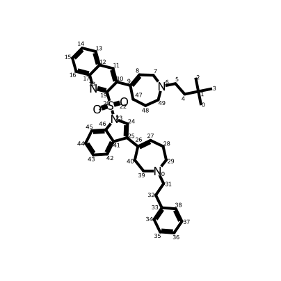 CC(C)(C)CCN1CC=C(c2cc3ccccc3nc2S(=O)(=O)n2cc(C3=CCCN(CCc4ccccc4)CC3)c3ccccc32)CCC1